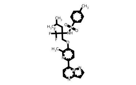 Cc1ccc(S(=O)(=O)NC(COc2ccc(-c3ccnc4ccnn34)nc2C)(CC(C)C)C(F)(F)F)cc1